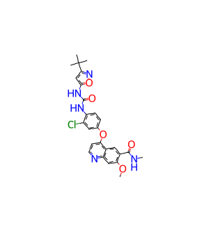 CNC(=O)c1cc2c(Oc3ccc(NC(=O)Nc4cc(C(C)(C)C)no4)c(Cl)c3)ccnc2cc1OC